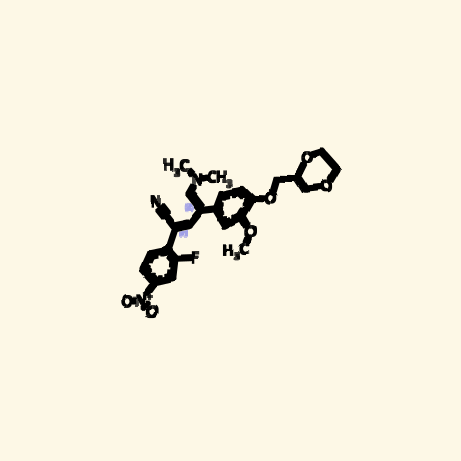 COc1cc(C(=C\N(C)C)/C=C(\C#N)c2ccc([N+](=O)[O-])cc2F)ccc1OCC1COCCO1